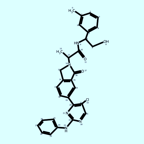 Cc1cccc(C(CO)NC(=O)C(C)N2Cc3ccc(-c4nc(Nc5ccccc5)ncc4Cl)cc3C2=O)c1